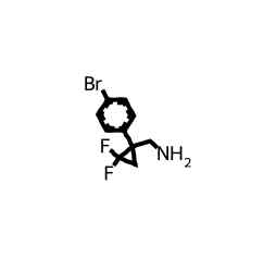 NCC1(c2ccc(Br)cc2)CC1(F)F